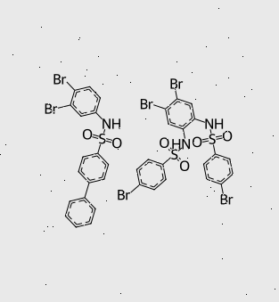 O=S(=O)(Nc1cc(Br)c(Br)cc1NS(=O)(=O)c1ccc(Br)cc1)c1ccc(Br)cc1.O=S(=O)(Nc1ccc(Br)c(Br)c1)c1ccc(-c2ccccc2)cc1